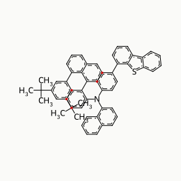 CC(C)(C)c1cc(-c2cccc3cccc(-c4ccccc4N(c4ccc(-c5cccc6c5sc5ccccc56)cc4)c4cccc5ccccc45)c23)cc(C(C)(C)C)c1